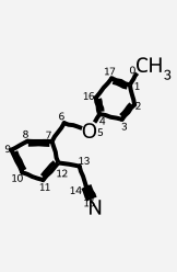 Cc1ccc(OCc2ccccc2CC#N)cc1